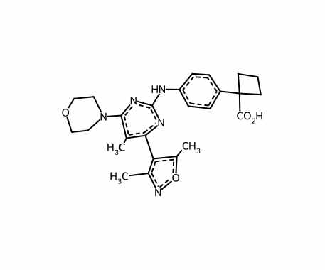 Cc1noc(C)c1-c1nc(Nc2ccc(C3(C(=O)O)CCC3)cc2)nc(N2CCOCC2)c1C